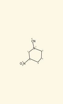 N#CN1CC[CH]C([N+](=O)[O-])C1